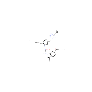 CNC(=O)c1ccc2c(C)cn(C(C)C(O)Nc3cc(Cn4cnc(C5CC5)n4)ccc3CCCC(=O)O)c2c1